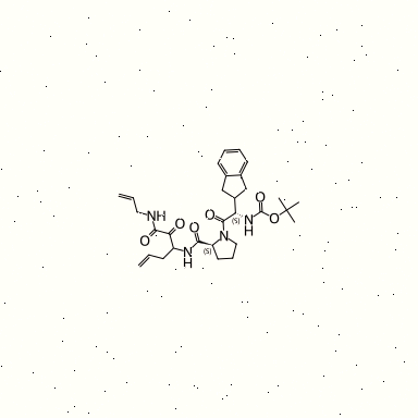 C=CCNC(=O)C(=O)C(CC=C)NC(=O)[C@@H]1CCCN1C(=O)[C@@H](NC(=O)OC(C)(C)C)C1Cc2ccccc2C1